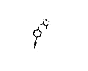 CCOC(=O)c1nn[nH]c1Oc1ccc(C#CC(F)(F)F)cc1